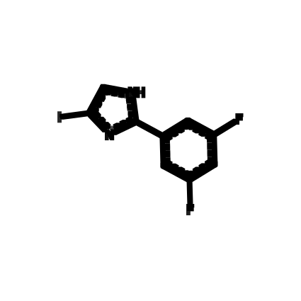 Fc1cc(F)cc(-c2nc(I)c[nH]2)c1